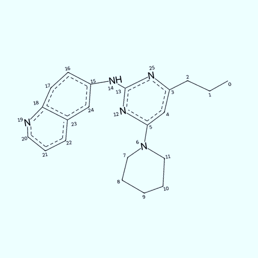 CCCc1cc(N2CCCCC2)nc(Nc2ccc3ncccc3c2)n1